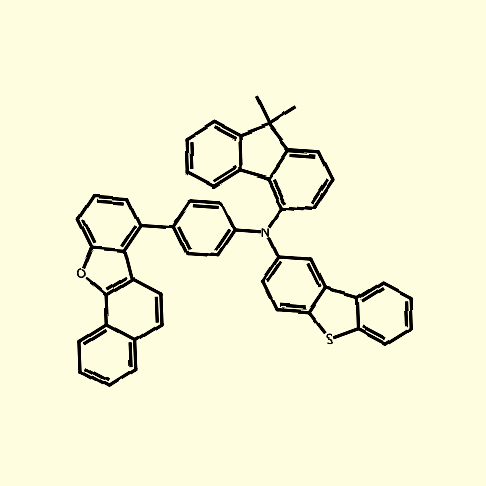 CC1(C)c2ccccc2-c2c(N(c3ccc(-c4cccc5oc6c7ccccc7ccc6c45)cc3)c3ccc4sc5ccccc5c4c3)cccc21